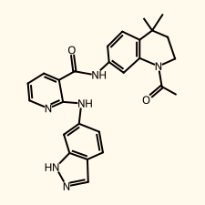 CC(=O)N1CCC(C)(C)c2ccc(NC(=O)c3cccnc3Nc3ccc4cn[nH]c4c3)cc21